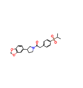 CC(C)S(=O)(=O)c1ccc(CC(=O)N2CCC(c3ccc4c(c3)OCO4)C2)cc1